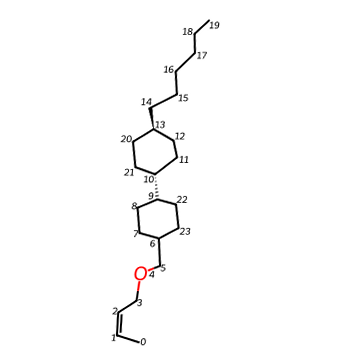 C/C=C\COCC1CCC([C@H]2CC[C@H](CCCCCC)CC2)CC1